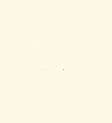 CC(C)c1nc2c(c(C(C)(C)C)n1)CCOC2